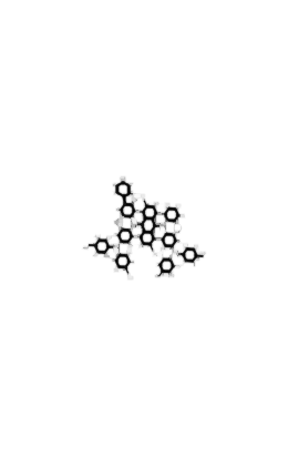 Cc1ccc(N(c2ccc(C)cc2)c2ccc3c(c2)Oc2ccccc2N3c2c3ccc(C)cc3c(N3c4ccc(N(c5ccc(C)cc5)c5ccc(C)cc5)cc4Oc4cc5c(cc43)sc3ccccc35)c3ccc(C)cc23)cc1